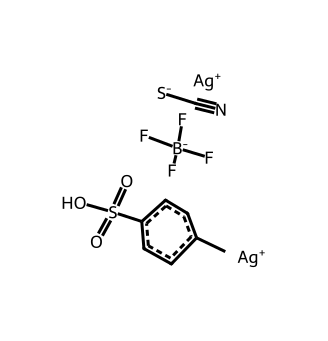 Cc1ccc(S(=O)(=O)O)cc1.F[B-](F)(F)F.N#C[S-].[Ag+].[Ag+]